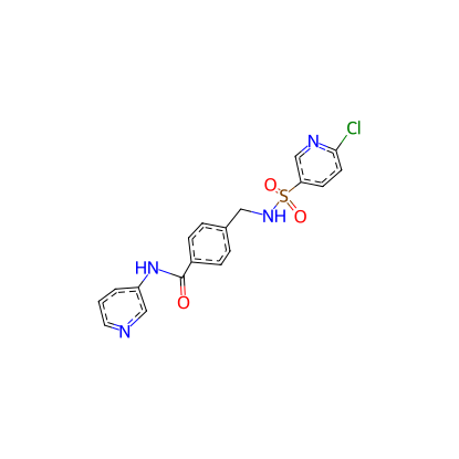 O=C(Nc1cccnc1)c1ccc(CNS(=O)(=O)c2ccc(Cl)nc2)cc1